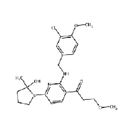 COCCC(=O)c1cnc(N2CCCC2(C)O)nc1NCc1ccc(OC)c(Cl)c1